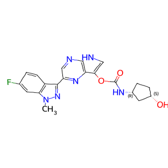 Cn1nc(-c2cnc3[nH]cc(OC(=O)N[C@@H]4CC[C@H](O)C4)c3n2)c2ccc(F)cc21